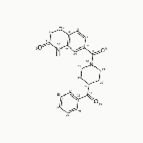 O=C1COc2ccc(C(=O)N3CCC(C(=O)c4ccccc4)CC3)cc2N1